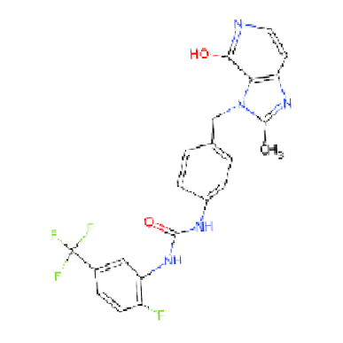 Cc1nc2ccnc(O)c2n1Cc1ccc(NC(=O)Nc2cc(C(F)(F)F)ccc2F)cc1